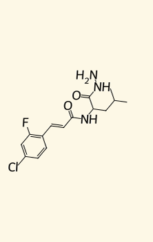 CC(C)CC(NC(=O)/C=C/c1ccc(Cl)cc1F)C(=O)NN